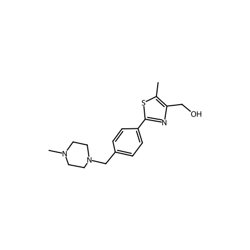 Cc1sc(-c2ccc(CN3CCN(C)CC3)cc2)nc1CO